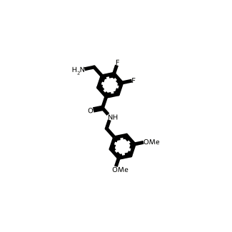 COc1cc(CNC(=O)c2cc(F)c(F)c(CN)c2)cc(OC)c1